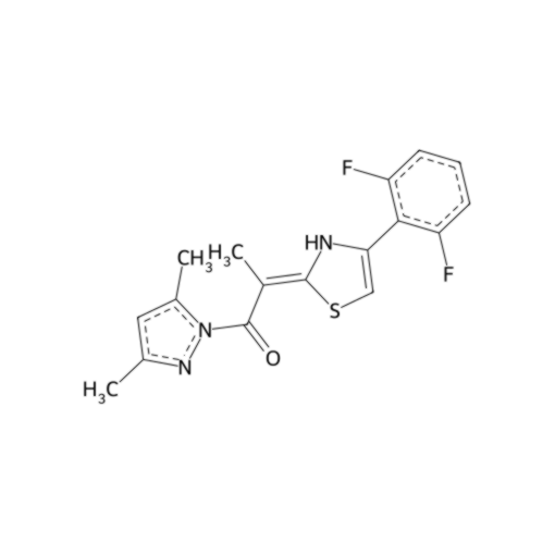 CC(C(=O)n1nc(C)cc1C)=C1NC(c2c(F)cccc2F)=CS1